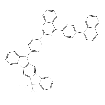 CC1(C)c2ccccc2-c2cc3c(cc21)c1ccccc1n3C1=CCC(c2nc(-c3ccc(-c4cccc5ccccc45)cc3)c3ccccc3n2)C=C1